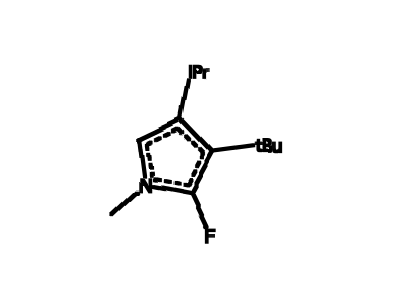 CC(C)c1cn(C)c(F)c1C(C)(C)C